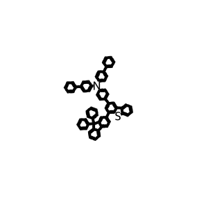 c1ccc(-c2ccc(N(c3ccc(-c4ccccc4)cc3)c3ccc(-c4cc(-c5ccc6c(c5)C(c5ccccc5)(c5ccccc5)c5ccccc5-6)c5sc6ccccc6c5c4)cc3)cc2)cc1